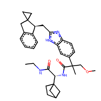 CCNC(=O)[C@H](NC(=O)C(C)(COC)c1ccc2nc(C[C@H]3c4ccccc4CC34CC4)[nH]c2c1)C12CCC(C1)C2